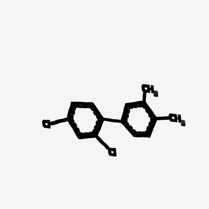 Cc1ccc(-c2ccc(Cl)cc2Cl)cc1C